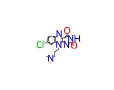 CN(C)CCCn1c2nc(=O)[nH]c(=O)c-2nc2ccc(Cl)cc21